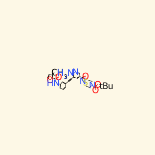 Cc1ccoc1C(=O)Nc1cccc(C#Cc2cc(C(=O)N=S3CCN(C(=O)OC(C)(C)C)CC3)cnc2N)c1